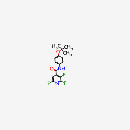 CC(C)(C)Oc1ccc(NC(=O)c2cc(F)nc(F)c2F)cc1